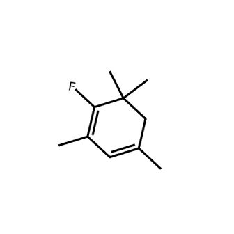 CC1=CC(C)=C(F)C(C)(C)C1